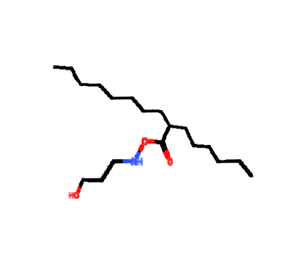 CCCCCCCCC(CCCCCC)C(=O)ONCCCO